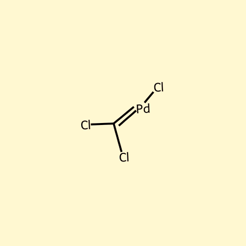 [Cl][Pd]=[C](Cl)Cl